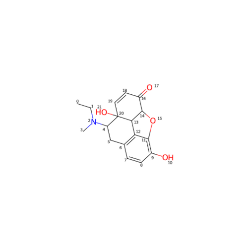 CCN(C)C1Cc2ccc(O)c3c2C2C(O3)C(=O)C=CC21O